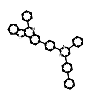 c1ccc(-c2ccc(-c3cc(-c4ccccc4)nc(-c4ccc(-c5ccc6c(c5)nc(-c5ccccc5)c5c7ccccc7oc65)cc4)n3)cc2)cc1